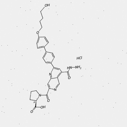 Cl.NNC(=O)c1cc(-c2ccc(-c3ccc(OCCCCO)cc3)cc2)nc2cc(C(=O)N3CCC[C@@H]3C(=O)O)ncc12